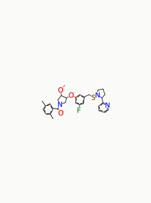 COC1CN(C(=O)c2cc(C)ccc2C)CC1Oc1cc(F)cc(CSN2CCCC2c2ccccn2)c1